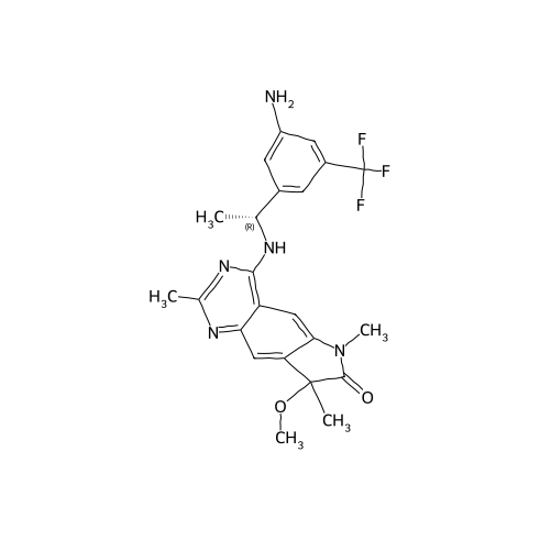 COC1(C)C(=O)N(C)c2cc3c(N[C@H](C)c4cc(N)cc(C(F)(F)F)c4)nc(C)nc3cc21